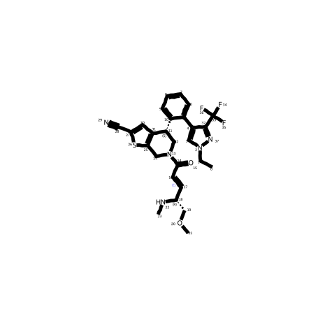 CCn1cc(-c2ccccc2[C@@H]2CN(C(=O)/C=C/[C@H](COC)NC)Cc3sc(C#N)cc32)c(C(F)(F)F)n1